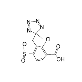 CC1(Cc2c(S(C)(=O)=O)ccc(C(=O)O)c2Cl)N=NN=N1